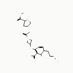 CN(C)C(=O)C1C[C@@H](CC(=O)N2CC(OC3=C(C(=O)O)C(O)C(CCB(O)O)C=C3)C2)CN1